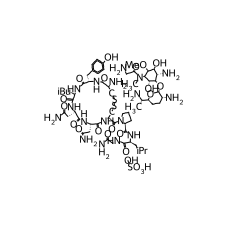 CC[C@H](C)[C@@H]1NC(=O)[C@H](Cc2ccc(O)cc2)NC(=O)[C@@H](N)CSSC[C@@H](C(=O)N2CCC[C@H]2C(=O)N[C@@H](CC(C)C)C(=O)NCC(N)=O)NC(=O)[C@H](CC(N)=O)NC(=O)[C@H](CC(N)=O)NC1=O.CO[C@H]1[C@@H](O)[C@H](N)[C@@H](O[C@H]2O[C@H]([C@H](C)N)CC[C@H]2N)[C@H](O)[C@@H]1N(C)C(=O)CN.O=S(=O)(O)O